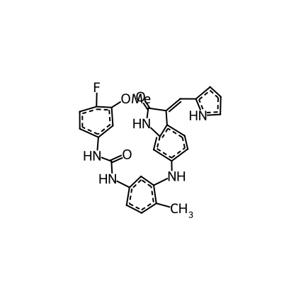 COc1cc(NC(=O)Nc2ccc(C)c(Nc3ccc4c(c3)NC(=O)C4=Cc3ccc[nH]3)c2)ccc1F